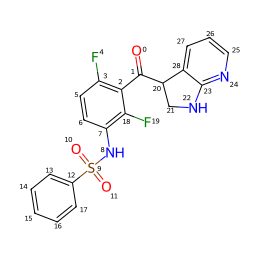 O=C(c1c(F)ccc(NS(=O)(=O)c2ccccc2)c1F)C1CNc2ncccc21